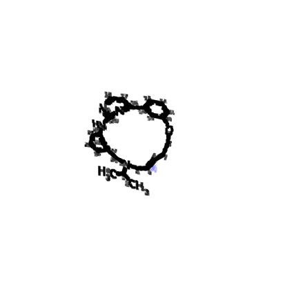 CC(C)N1C/C=C/CCOc2cccc(c2)-c2ccnc(n2)Nc2cccc(c2)C1